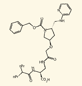 CCCC(CCC)C(=O)N[C@@H](CNC(=O)CO[C@@H]1C[C@@H](CNc2ccccn2)N(C(=O)OCc2ccccc2)C1)C(=O)O